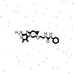 Cc1nc(N)c2nc(CC3CC3)n(CCOCCNC(=O)NC3CCCCC3)c2c1C